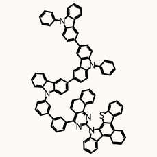 c1ccc(-n2c3ccccc3c3cc(-c4ccc5c(c4)c4cc(-c6ccc7c(c6)c6ccccc6n7-c6cccc(-c7cccc(-c8nc(-n9c%10ccccc%10c%10c%11ccccc%11c%11c%12ccccc%12sc%11c%109)nc9c8ccc8ccccc89)c7)c6)ccc4n5-c4ccccc4)ccc32)cc1